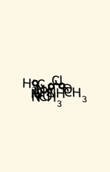 COc1ccc(C(Cl)c2ccc3c(c2)NC(=O)C32CC(C)N(Cc3ccccc3)C(C3(C)C=NN=N3)C2)cc1